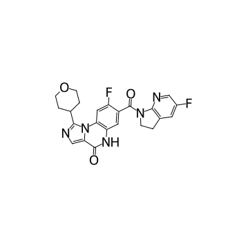 O=C(c1cc2[nH]c(=O)c3cnc(C4CCOCC4)n3c2cc1F)N1CCc2cc(F)cnc21